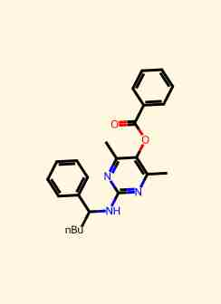 CCCCC(Nc1nc(C)c(OC(=O)c2ccccc2)c(C)n1)c1ccccc1